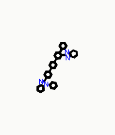 C1=Cc2nc3c4cc(-c5ccc(-c6ccc(-c7nc8ccccc8n7-c7ccccc7)cc6)cc5)ccc4c4ccccc4n3c2CC1